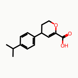 CC(C)c1ccc(C2C=C(C(=O)O)OCC2)cc1